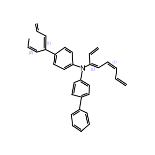 C=C/C=C\C=C(/C=C)N(c1ccc(C(/C=C\C)=C/C=C)cc1)c1ccc(-c2ccccc2)cc1